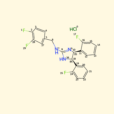 Cl.Fc1ccc(CNC2=N[C@@H](c3ccccc3F)[C@@H](c3ccccc3F)N2)cc1F